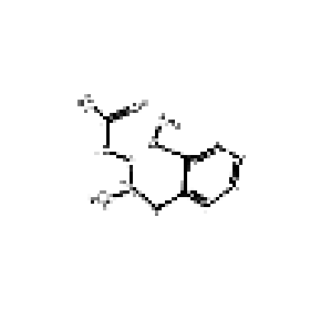 COc1ccccc1C[C@@H](C)COC(C)=O